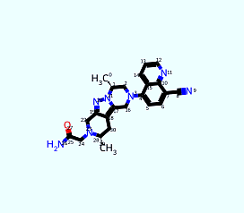 C[C@@H]1CN(c2ccc(C#N)c3ncccc23)Cc2c3c(nn21)CN(CC(N)=O)[C@@H](C)C3